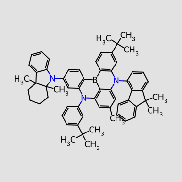 Cc1cc2c3c(c1)N(c1cccc4c1-c1ccccc1C4(C)C)c1cc(C(C)(C)C)ccc1B3c1ccc(N3c4ccccc4C4(C)CCCCC34C)cc1N2c1cccc(C(C)(C)C)c1